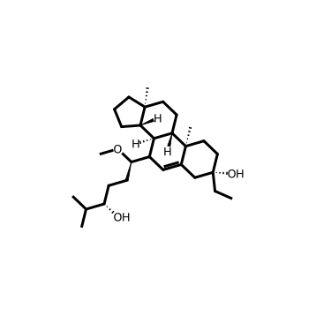 CC[C@]1(O)CC[C@@]2(C)C(=CC([C@@H](CC[C@H](O)C(C)C)OC)[C@H]3[C@@H]4CCC[C@@]4(C)CC[C@@H]32)C1